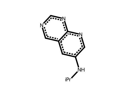 CC(C)Nc1cnc2ncncc2c1